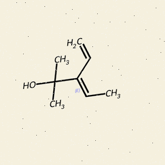 C=C/C(=C\C)C(C)(C)O